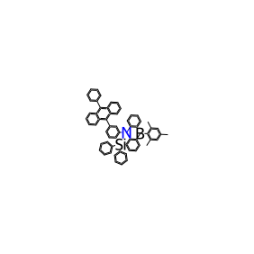 Cc1cc(C)c(B2c3ccccc3N3c4cc(-c5c6ccccc6c(-c6ccccc6)c6ccccc56)ccc4[Si](c4ccccc4)(c4ccccc4)c4cccc2c43)c(C)c1